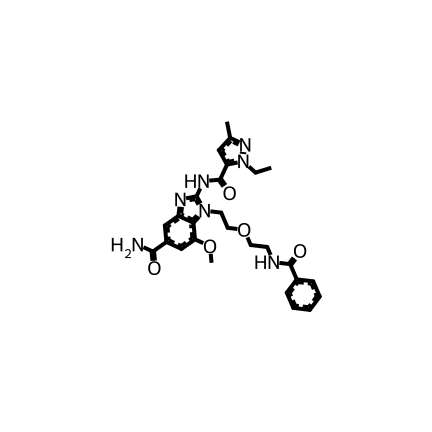 CCn1nc(C)cc1C(=O)Nc1nc2cc(C(N)=O)cc(OC)c2n1CCOCCNC(=O)c1ccccc1